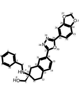 OC[C@]1(NCc2ccccc2)CCc2ccc(-c3nnc(-c4ccc5c(c4)OCO5)o3)cc2C1